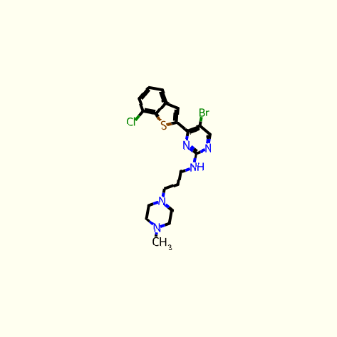 CN1CCN(CCCNc2ncc(Br)c(-c3cc4cccc(Cl)c4s3)n2)CC1